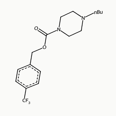 [CH2]CCCN1CCN(C(=O)OCc2ccc(C(F)(F)F)cc2)CC1